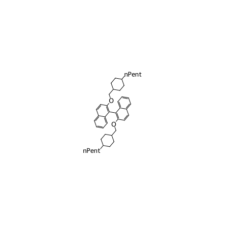 CCCCCC1CCC(COc2ccc3ccccc3c2-c2c(OCC3CCC(CCCCC)CC3)ccc3ccccc23)CC1